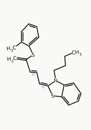 C=C(/C=C/C=C1/Sc2ccccc2N1CCCC)Sc1ccccc1C